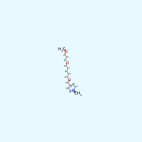 COCCCOCCCCCOCC1CCN(C)CC1